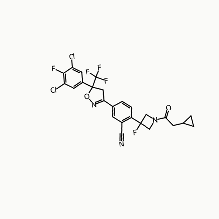 N#Cc1cc(C2=NOC(c3cc(Cl)c(F)c(Cl)c3)(C(F)(F)F)C2)ccc1C1(F)CN(C(=O)CC2CC2)C1